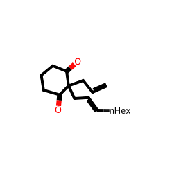 C=CCC1(CC=CCCCCCC)C(=O)CCCC1=O